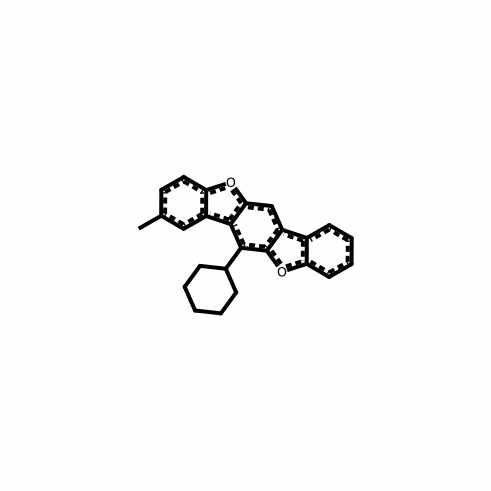 Cc1ccc2oc3cc4c(oc5ccccc54)c(C4CCCCC4)c3c2c1